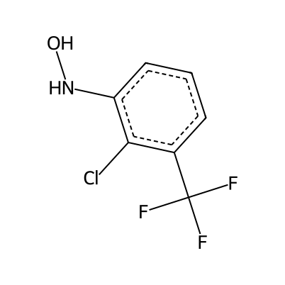 ONc1cccc(C(F)(F)F)c1Cl